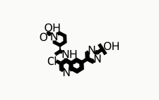 CC(Nc1c(Cl)cnc2ccc(-c3cnc(C(C)(C)O)nc3)cc12)[C@@H]1CCCN(C(=O)O)C1